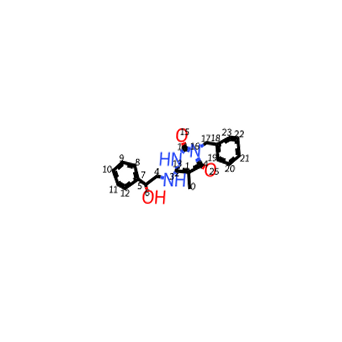 Cc1c(NCC(O)c2ccccc2)[nH]c(=O)n(Cc2ccccc2)c1=O